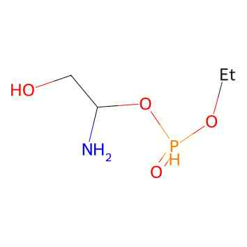 CCO[PH](=O)OC(N)CO